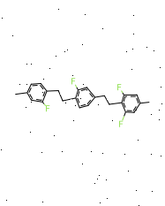 Cc1ccc(CCc2ccc(CCc3c(F)cc(C)cc3F)cc2F)c(F)c1